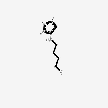 CCCCCCl.c1csnn1